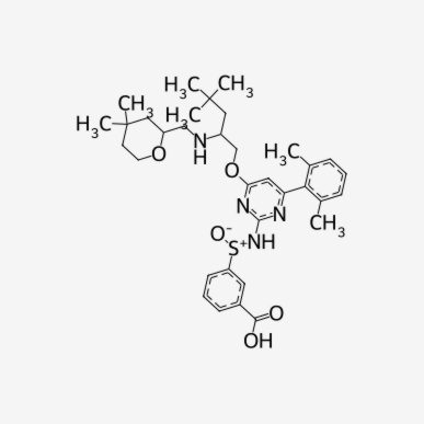 Cc1cccc(C)c1-c1cc(OCC(CC(C)(C)C)NCC2CC(C)(C)CCO2)nc(N[S+]([O-])c2cccc(C(=O)O)c2)n1